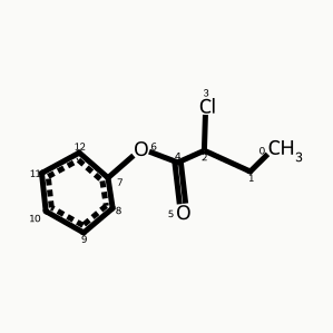 CCC(Cl)C(=O)Oc1ccccc1